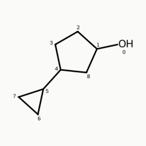 OC1CCC(C2CC2)C1